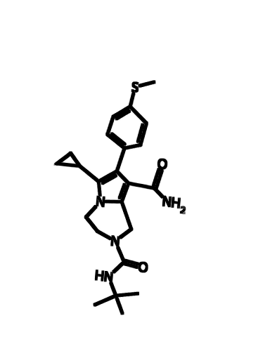 CSc1ccc(-c2c(C(N)=O)c3n(c2C2CC2)CCN(C(=O)NC(C)(C)C)C3)cc1